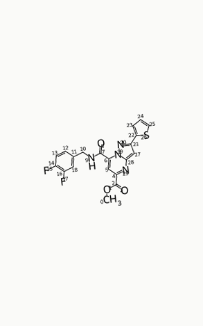 COC(=O)c1cc(C(=O)NCc2ccc(F)c(F)c2)n2nc(-c3cccs3)cc2n1